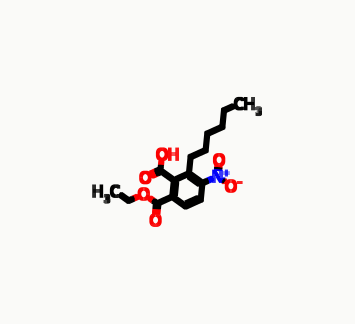 CCCCCCc1c([N+](=O)[O-])ccc(C(=O)OCC)c1C(=O)O